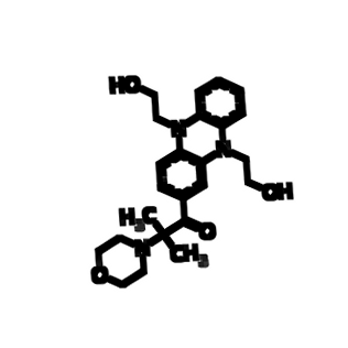 CC(C)(C(=O)c1ccc2c(c1)N(CCO)c1ccccc1N2CCO)N1CCOCC1